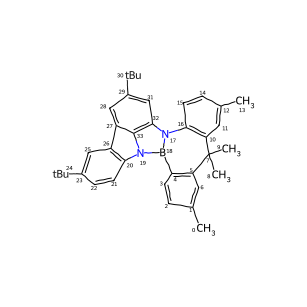 Cc1ccc2c(c1)C(C)(C)c1cc(C)ccc1N1B2n2c3ccc(C(C)(C)C)cc3c3cc(C(C)(C)C)cc1c32